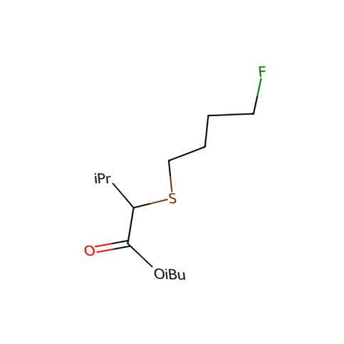 CC(C)COC(=O)C(SCCCCF)C(C)C